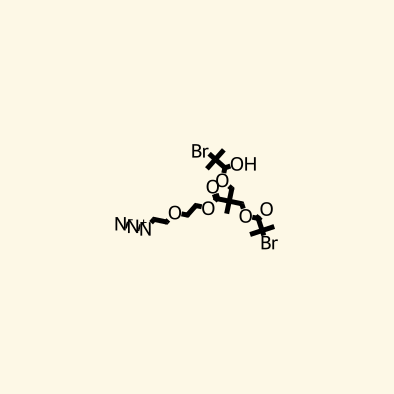 CC(C)(Br)C(=O)OCC(C)(COC(O)C(C)(C)Br)C(=O)OCCOCCN=[N+]=[N-]